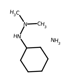 CN(C)NC1CCCCC1.N